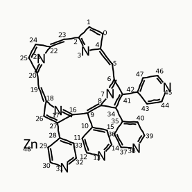 C1=CC2=NC1=CC1=NC(=C(c3ccncc3)C3=NC(=CC4=NC(=C2)C=C4)C=C3c2ccncc2)C(c2ccncc2)=C1c1ccncc1.[Zn]